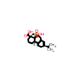 CC(C)c1ccc2c(c1)CC[C@H]1[C@@](CS(=O)(=O)O)(C(=O)O)CCC[C@]21C